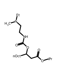 [CH2]C([CH2])OC(=O)CC(CCCCCCCC)OC(=O)NCCN(C)CC